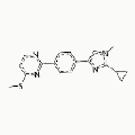 CSc1ccnc(-c2ccc(-c3cn(C)c(C4CC4)n3)cc2)n1